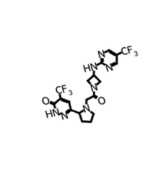 O=C(CN1CCCC1c1cc(C(F)(F)F)c(=O)[nH]n1)N1CC(Nc2ncc(C(F)(F)F)cn2)C1